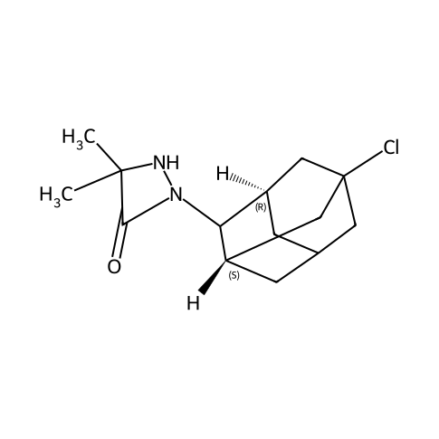 CC1(C)NN(C2[C@@H]3CC4C[C@H]2CC(Cl)(C4)C3)C1=O